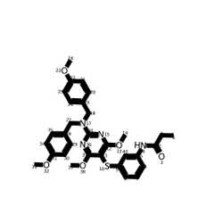 CCC(=O)Nc1cccc(Sc2c(OC)nc(N(Cc3ccc(OC)cc3)Cc3ccc(OC)cc3)nc2OC)c1